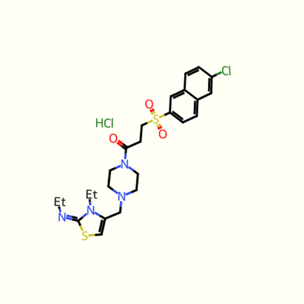 CCN=c1scc(CN2CCN(C(=O)CCS(=O)(=O)c3ccc4cc(Cl)ccc4c3)CC2)n1CC.Cl